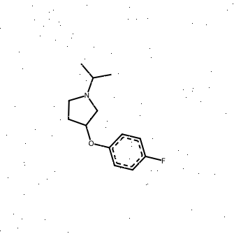 CC(C)N1CCC(Oc2ccc(F)cc2)C1